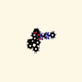 c1ccc(-c2cc(-c3ccc4c(c3)C3(c5ccccc5-c5ccccc5-4)c4ccccc4-c4c3cc3ccc5cccc6ccc4c3c56)nc(-c3cnc(-c4ccccc4)nc3)n2)cc1